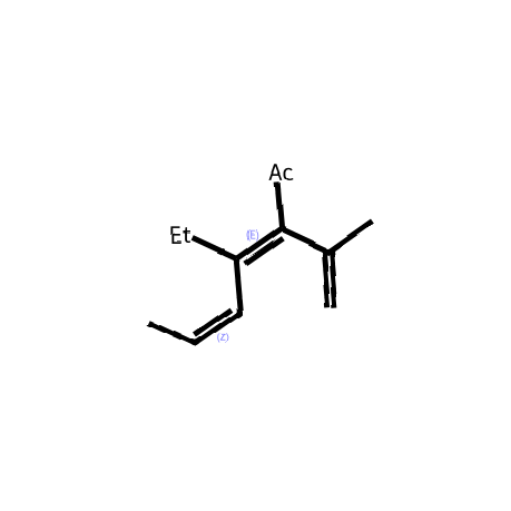 C=C(C)/C(C(C)=O)=C(\C=C/C)CC